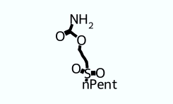 CCCCCS(=O)(=O)CCOC(N)=O